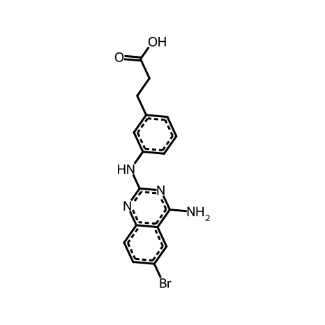 Nc1nc(Nc2cccc(CCC(=O)O)c2)nc2ccc(Br)cc12